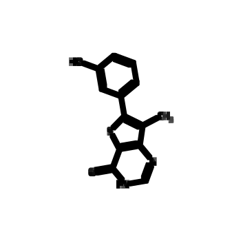 Cc1c(-c2cccc(O)c2)sc2c(=O)[nH]cnc12